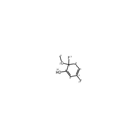 COC1(F)CC=C(F)C=C1O